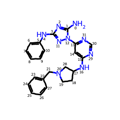 Nc1nc(Nc2ccccc2)nn1-c1cc(NC2CCN(Cc3ccccc3)C2)ncn1